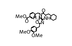 COC(=O)c1ccc(CNC(=O)C(CC2CCCCC2)NC(N)=NC(=O)Cc2ccc(OC)c(OC)c2)cc1